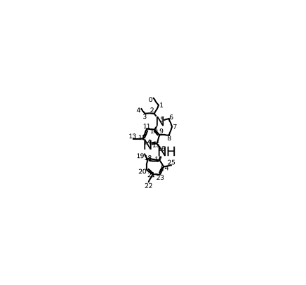 CCC(CC)N1CCCc2c1cc(C)nc2Nc1c(C)cc(C)cc1C